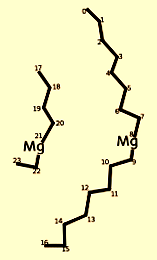 CCCCCCC[CH2][Mg][CH2]CCCCCCC.CCC[CH2][Mg][CH2]C